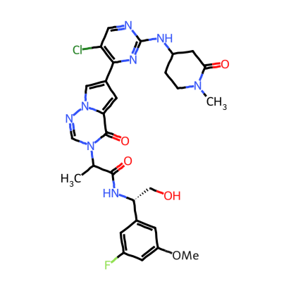 COc1cc(F)cc([C@@H](CO)NC(=O)C(C)n2cnn3cc(-c4nc(NC5CCN(C)C(=O)C5)ncc4Cl)cc3c2=O)c1